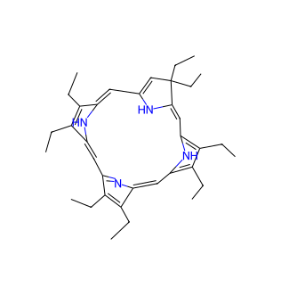 CCC1=C(CC)/C2=C/c3[nH]c(c(CC)c3CC)/C=C3\NC(=CC3(CC)CC)/C=c3\[nH]/c(c(CC)c3CC)=C\C1=N2